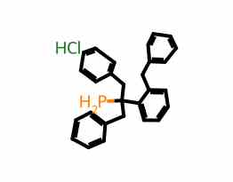 Cl.PC(Cc1ccccc1)(Cc1ccccc1)c1ccccc1Cc1ccccc1